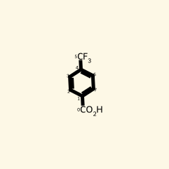 O=[13C](O)c1ccc(C(F)(F)F)cc1